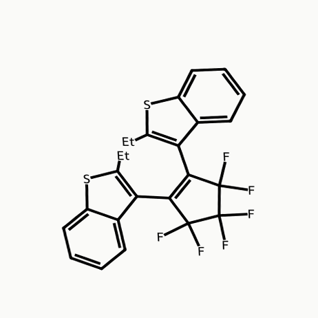 CCc1sc2ccccc2c1C1=C(c2c(CC)sc3ccccc23)C(F)(F)C(F)(F)C1(F)F